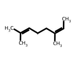 CC=C(C)C[CH]C=C(C)C